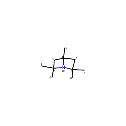 CC1(C)CC2(C)CC(C)(C)N12